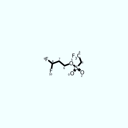 O=S(=O)(CC(F)(F)F)OCCC(F)F